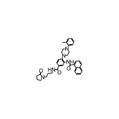 Cc1ccccc1N1CCN(c2ccc(C(=O)NCCCN3CCCC3=O)cc2NC(=O)c2cccc3ccccc23)CC1